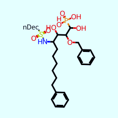 CCCCCCCCCCS(=O)(=O)NC(CCCCCCc1ccccc1)C(O)C(OCc1ccccc1)C(O)P(=O)(O)O